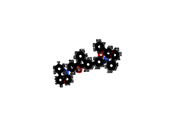 c1ccc(-c2ccccc2N(c2ccccc2)c2ccc3c(c2)oc2c4ccc(-c5ccc(N(c6ccccc6-c6ccccc6)c6cccc7c6oc6ccccc67)cc5)cc4c4ccccc4c32)cc1